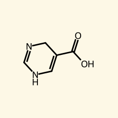 O=C(O)C1=CNC=NC1